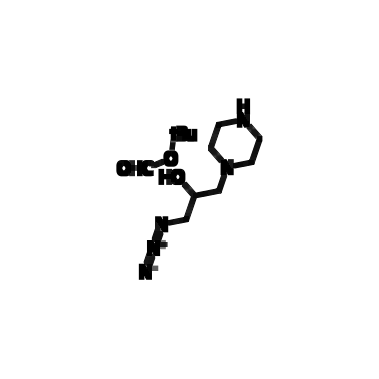 CC(C)(C)OC=O.[N-]=[N+]=NCC(O)CN1CCNCC1